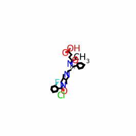 COC(CCC(=O)O)=N[C@@H](CCN1CC2CN(C(=O)c3c(F)cccc3Cl)CC2C1)c1ccccc1